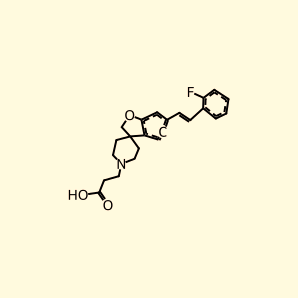 O=C(O)CCN1CCC2(CC1)COc1cc(C=Cc3ccccc3F)ccc12